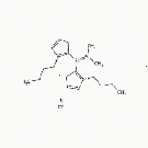 CCCCC1=[C]([Zr+2]([C]2=C(CCCC)C=CC2)=[Si](C)C)CC=C1.[Cl-].[Cl-]